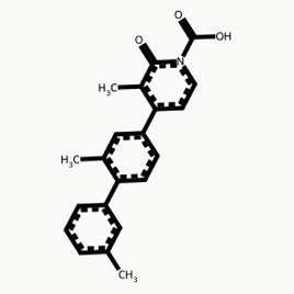 Cc1cccc(-c2ccc(-c3ccn(C(=O)O)c(=O)c3C)cc2C)c1